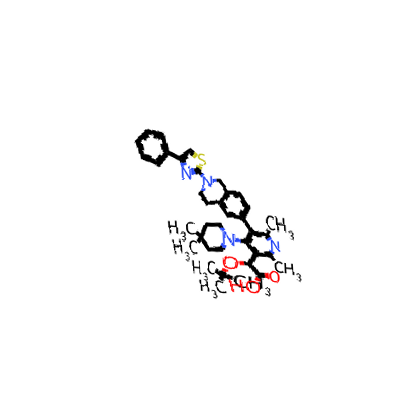 Cc1nc(C)c(C(OC(C)(C)C)C(=O)O)c(N2CCC(C)(C)CC2)c1-c1ccc2c(c1)CCN(c1nc(-c3ccccc3)cs1)C2